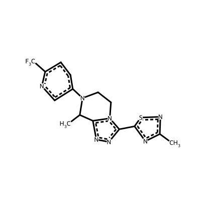 Cc1nsc(-c2nnc3n2CCN(c2ccc(C(F)(F)F)nc2)C3C)n1